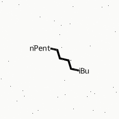 CCCCCCC[CH]CC(C)CC